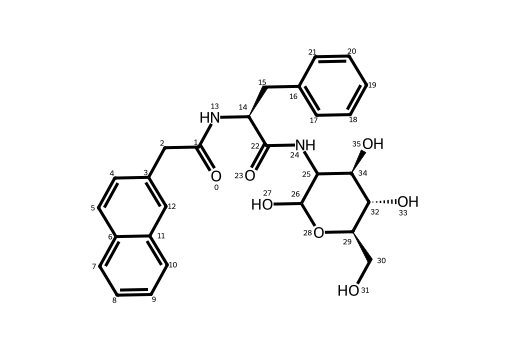 O=C(Cc1ccc2ccccc2c1)N[C@@H](Cc1ccccc1)C(=O)NC1C(O)O[C@H](CO)[C@@H](O)[C@@H]1O